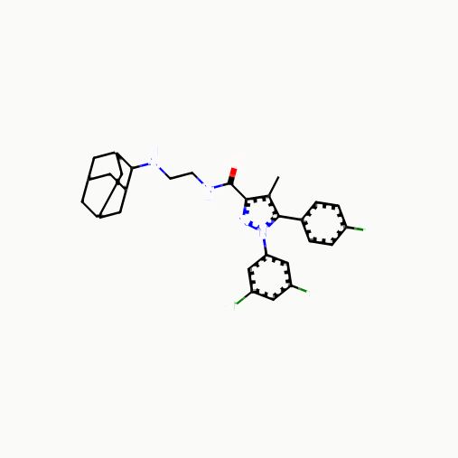 Cc1c(C(=O)NCCNC2C3CC4CC(C3)CC2C4)nn(-c2cc(Cl)cc(Cl)c2)c1-c1ccc(Cl)cc1